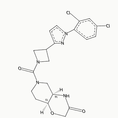 O=C1CO[C@H]2CCN(C(=O)N3CC(c4ccn(-c5ccc(Cl)cc5Cl)n4)C3)C[C@H]2N1